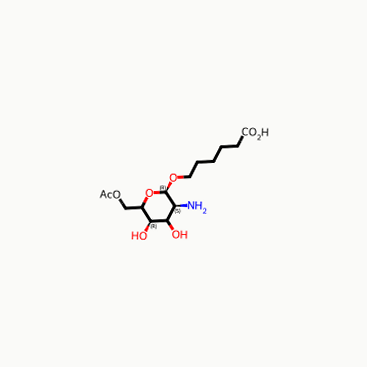 CC(=O)OCC1O[C@@H](OCCCCCC(=O)O)[C@@H](N)C(O)[C@H]1O